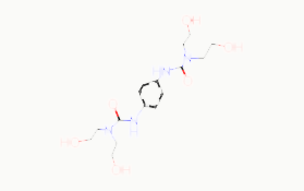 O=C(Nc1ccc(NC(=O)N(CCO)CCO)cc1)N(CCO)CCO